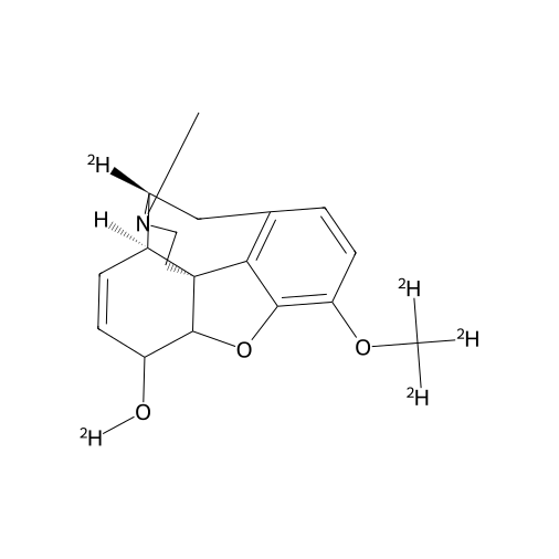 [2H]OC1C=C[C@@H]2[C@@]34CCN(C)[C@]2([2H])Cc2ccc(OC([2H])([2H])[2H])c(c23)OC14